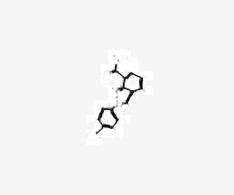 NC(=O)c1cccc2cn(-c3ccc(Cl)cc3)nc12